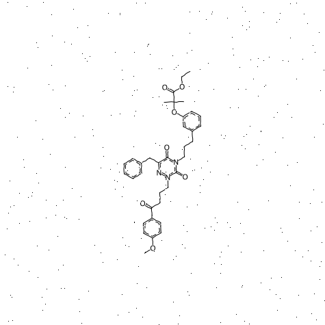 CCOC(=O)C(C)(C)Oc1cccc(CCCn2c(=O)c(Cc3ccccc3)nn(CCCC(=O)c3ccc(OC)cc3)c2=O)c1